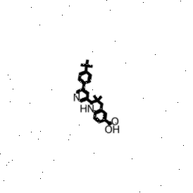 CC(C)(C)c1ccc(-c2cncc(C3Nc4ccc(C(=O)O)cc4CC3(C)C)c2)cc1